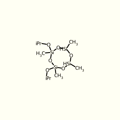 CC(C)O[Si]1(C)O[SiH](C)O[SiH](C)O[Si](C)(OC(C)C)O1